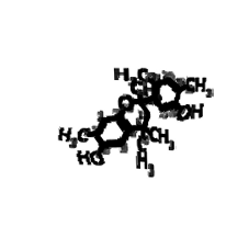 Cc1cc2c(cc1O)C(C)(C)CC(C)(c1cc(O)c(C)cc1C)O2